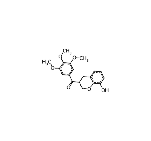 COc1cc(C(=O)C2COc3c(O)cccc3C2)cc(OC)c1OC